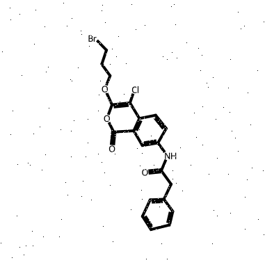 O=C(Cc1ccccc1)Nc1ccc2c(Cl)c(OCCCBr)oc(=O)c2c1